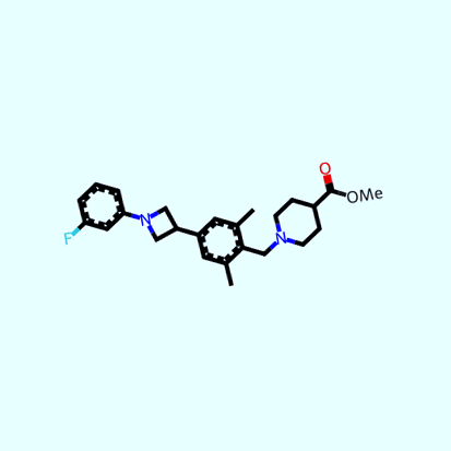 COC(=O)C1CCN(Cc2c(C)cc(C3CN(c4cccc(F)c4)C3)cc2C)CC1